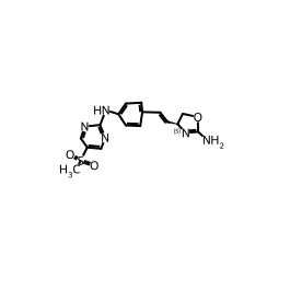 CS(=O)(=O)c1cnc(Nc2ccc(C=C[C@H]3COC(N)=N3)cc2)nc1